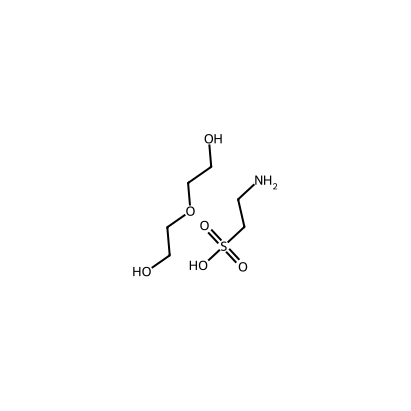 NCCS(=O)(=O)O.OCCOCCO